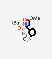 COC(=O)C[C@](C)(N[S@+]([O-])C(C)(C)C)c1cccc([N+](=O)[O-])c1